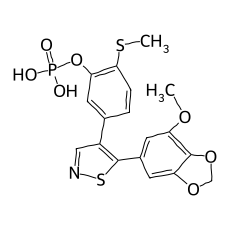 COc1cc(-c2sncc2-c2ccc(SC)c(OP(=O)(O)O)c2)cc2c1OCO2